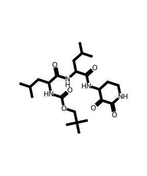 CC(C)CC(NC(=O)OCC(C)(C)C)C(=O)NC(CC(C)C)C(=O)NC1CCNC(=O)C1=O